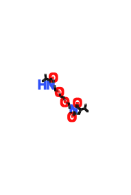 CC(C)C(=O)NCCOCCOCCN1C(=O)CC(C(C)C)C1=O